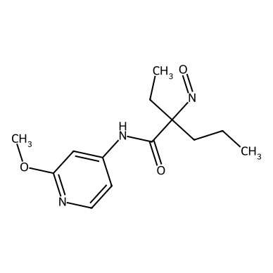 CCCC(CC)(N=O)C(=O)Nc1ccnc(OC)c1